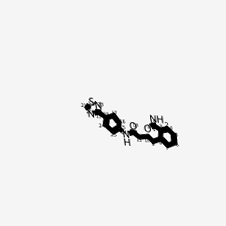 NC(=O)c1ccccc1CC[CH]C(=O)Nc1ccc(-c2ncsn2)cc1